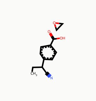 C1CO1.CCC(C#N)c1ccc(C(=O)O)cc1